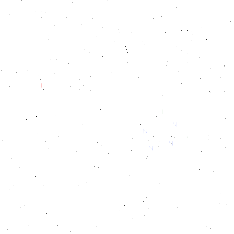 OCCCCCCCCCCn1cnc2nc(Cl)nc(Cl)c21